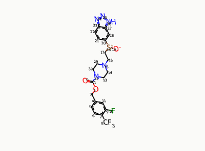 O=C(OCc1ccc(C(F)(F)F)c(F)c1)N1CCN(CC[S+]([O-])c2ccc3nn[nH]c3c2)CC1